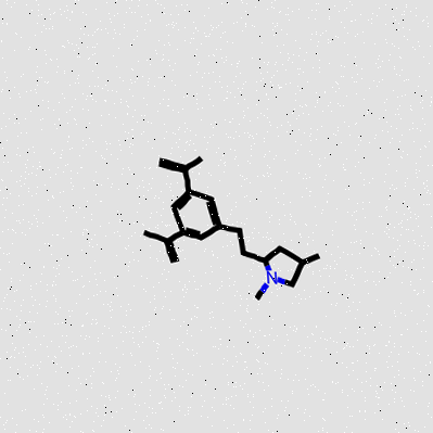 C=C(C)c1cc(CCC2CC(C)CN2C)cc(C(=C)C)c1